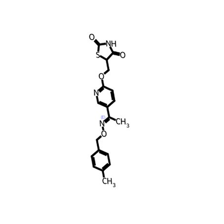 C/C(=N\OCc1ccc(C)cc1)c1ccc(OCC2SC(=O)NC2=O)nc1